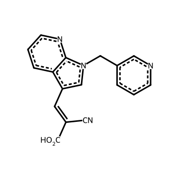 N#C/C(=C\c1cn(Cc2cccnc2)c2ncccc12)C(=O)O